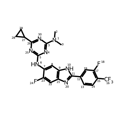 CN(C)c1nc(Nc2cc3[nH]c(-c4ccc(C(F)(F)F)c(F)c4)nc3cc2F)nc(C2CC2)n1